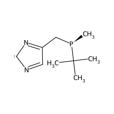 C[P@](CC1=N[C]N=C1)C(C)(C)C